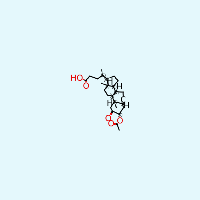 CC(=O)O[C@H]1C[C@H]2CC[C@@H]3[C@H](CC[C@]4(C)[C@@H]([C@H](C)CCC(=O)O)CC[C@@H]34)[C@@]2(C)CC1=O